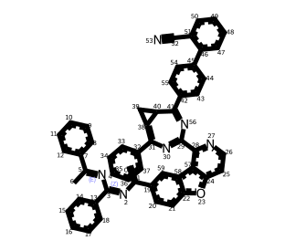 C=C(/N=C(\N=C(/C)c1ccccc1)c1ccccc1)c1ccc2oc3ccnc(C4=NC(c5ccccc5)=C5CC5C(c5ccc(-c6ccccc6C#N)cc5)=N4)c3c2c1